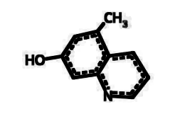 Cc1cc(O)cc2ncccc12